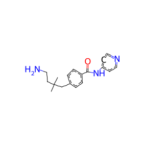 CC(C)(CCN)Cc1ccc(C(=O)Nc2ccncc2)cc1